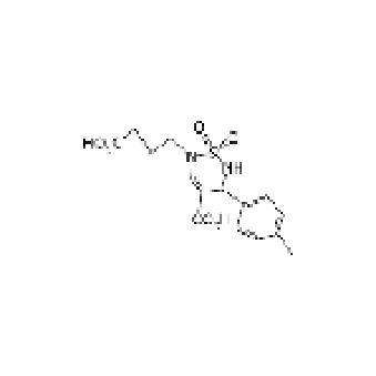 Cc1ccc(C2NS(=O)(=O)N(CCCC(=O)O)C=C2C(=O)O)cc1